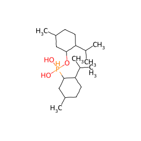 CC1CCC(C(C)C)C(O[PH](O)(O)C2CC(C)CCC2C(C)C)C1